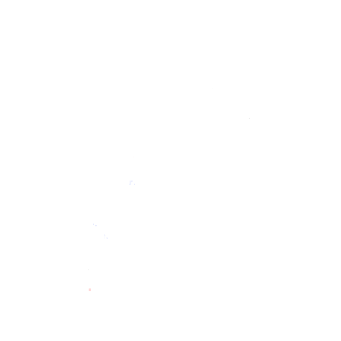 O=C(O)Cn1ncc2c1CCCC2NS(=O)(=O)c1ccc(-c2cc(C(F)(F)F)cc(C(F)(F)F)c2)cc1